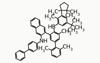 Cc1cc(-c2c(C)cccc2C)cc(-c2cc3ccccc3cc2Nc2ccc(-c3ccccc3)cc2)c1Bc1cc(C(C)(C)C)cc(C2(C)CCCC2(C)C)c1C